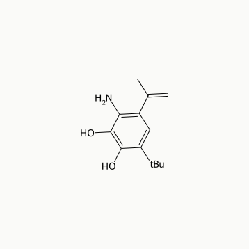 C=C(C)c1cc(C(C)(C)C)c(O)c(O)c1N